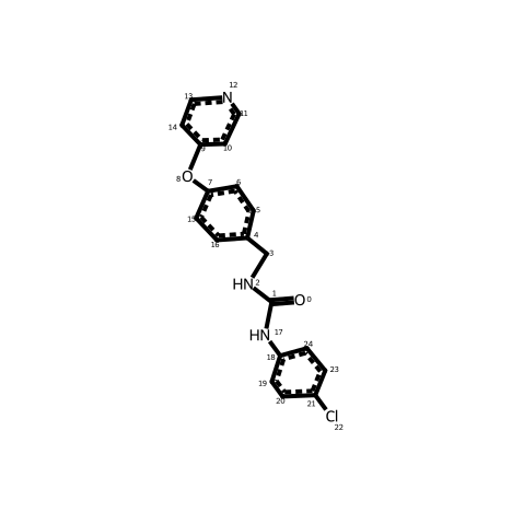 O=C(NCc1ccc(Oc2ccncc2)cc1)Nc1ccc(Cl)cc1